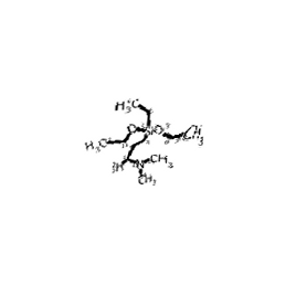 [2H]C(CC[Si](CC)(OCC)OCC)N(C)C